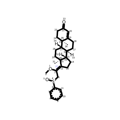 CO/C(C[S+]([O-])c1ccccc1)=C1/CC[C@H]2[C@@H]3CCC4=CC(=O)CC[C@]4(C)[C@H]3CC[C@]12C